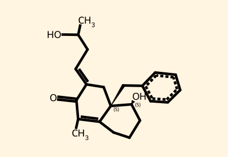 CC1=C2CCC[C@H](O)[C@@]2(Cc2ccccc2)CC(=CCC(C)O)C1=O